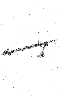 CCCCCCCCCCCN(CCCC(=O)NCCOCCOCCOCCOCCOCCOCCOCCOCCC(=O)NCC(=O)OC(C)C)C(=O)CCCCCCCCCC(=O)O